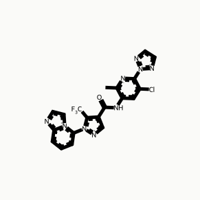 Cc1nc(-n2nccn2)c(Cl)cc1NC(=O)c1cnn(-c2cccc3nccn23)c1C(F)(F)F